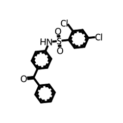 O=C(c1ccccc1)c1ccc(NS(=O)(=O)c2ccc(Cl)cc2Cl)cc1